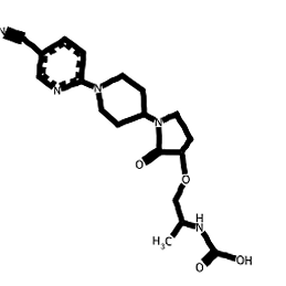 CC(COC1CCN(C2CCN(c3ccc(C#N)cn3)CC2)C1=O)NC(=O)O